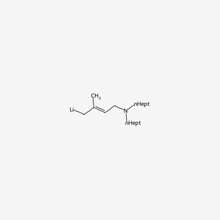 [Li][CH2]/C(C)=C/CN(CCCCCCC)CCCCCCC